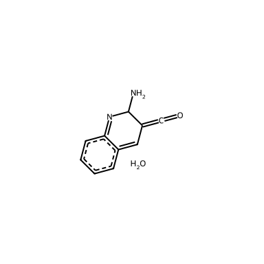 NC1N=c2ccccc2=CC1=C=O.O